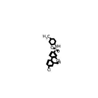 CC1CCC(NS(=O)(=O)c2ccc(-c3ccc(Cl)cc3C#N)c(Cl)c2)CC1